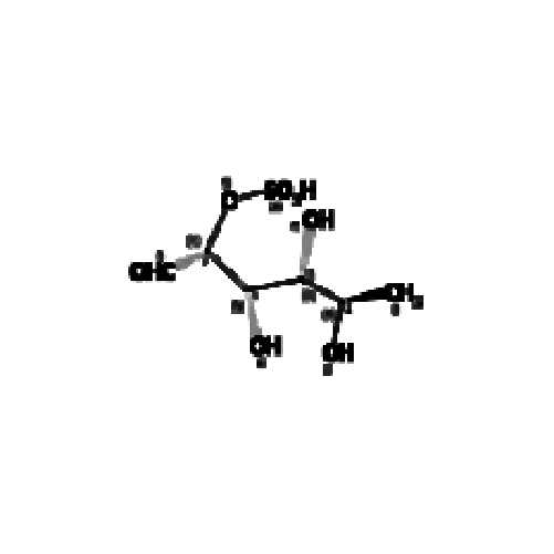 C[C@@H](O)[C@@H](O)[C@H](O)[C@H](C=O)OS(=O)(=O)O